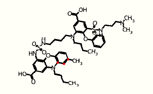 CCCCN(CCCC)c1cc(C(=O)O)cc(NS(=O)(=O)NCCCCN(CCCC)c2cc(C(=O)O)cc(S(=O)(=O)NCCCN(C)C)c2Oc2ccccc2)c1Oc1ccccc1